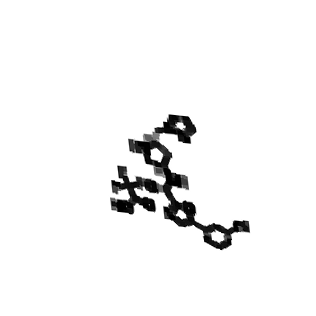 N#Cc1cccc(-c2cnc(C(=O)N[C@H]3CN[C@H](Cn4cccn4)C3)o2)c1.O=C(O)C(F)(F)F